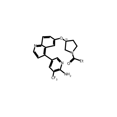 CCC(=O)N1CC[C@H](Oc2ccc3nccc(-c4cnc(N)c(C(F)(F)F)c4)c3c2)C1